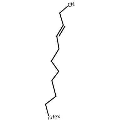 CCCCCCCCCCCC/C=C/CC#N